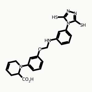 O=C(O)C1CC=CCN1c1cccc(OCNc2cccc(-n3c(S)nnc3S)c2)c1